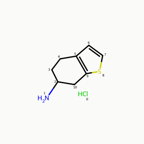 Cl.NC1CCc2ccsc2C1